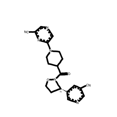 N#Cc1cncc([C@@H]2CCON2C(=O)C2CCN(c3cncc(C#N)n3)CC2)c1